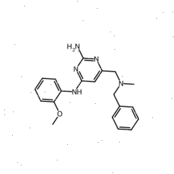 COc1ccccc1Nc1cc(CN(C)Cc2ccccc2)nc(N)n1